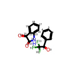 O=C(c1ccccc1)C(F)(F)F.O=C1Nc2ccccc2C1=O